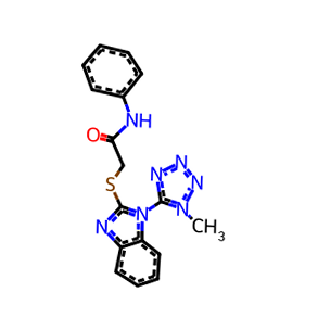 Cn1nnnc1-n1c(SCC(=O)Nc2ccccc2)nc2ccccc21